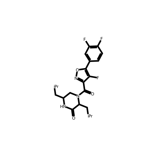 CC(C)CC1CN(C(=O)c2noc(-c3ccc(F)c(F)c3)c2F)C(CC(C)C)C(=O)N1